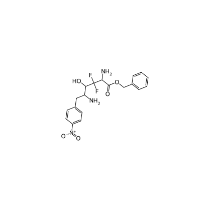 NC(Cc1ccc([N+](=O)[O-])cc1)C(O)C(F)(F)C(N)C(=O)OCc1ccccc1